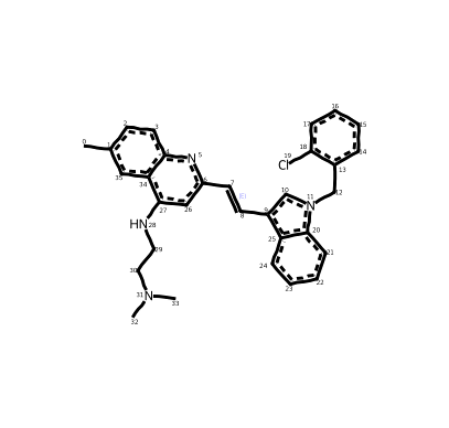 Cc1ccc2nc(/C=C/c3cn(Cc4ccccc4Cl)c4ccccc34)cc(NCCN(C)C)c2c1